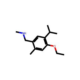 CCOc1cc(C)c(CNC)cc1C(C)C